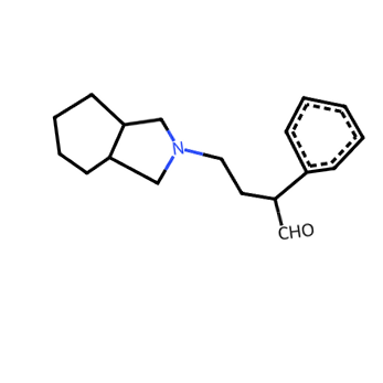 O=CC(CCN1CC2CCCCC2C1)c1ccccc1